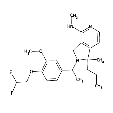 CCCC1(C)c2ccnc(NC)c2CN1C(C)c1ccc(OCC(F)F)c(OC)c1